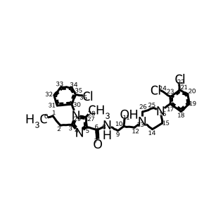 CCCc1nc(C(=O)NCC(O)CN2CCN(c3cccc(Cl)c3Cl)CC2)c(C)n1-c1ccccc1Cl